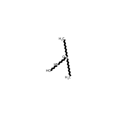 CCCCCCCCCCCCN(CCCCCCCCCCCC)C(=O)CCCCCNCCCCCO